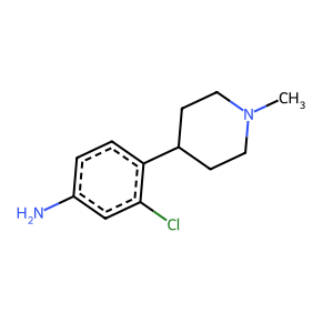 CN1CCC(c2ccc(N)cc2Cl)CC1